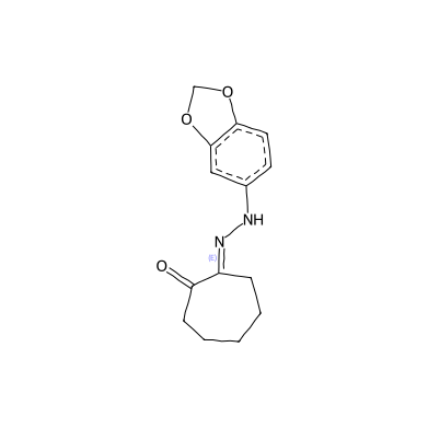 O=C1CCCCC/C1=N\Nc1ccc2c(c1)OCO2